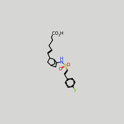 O=C(O)CCCC=CC1CC2CC(NS(=O)(=O)C=Cc3ccc(F)cc3)C1C2